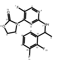 CC(Nc1ncc(F)c(N2CCOC2=O)n1)c1cccc(F)c1F